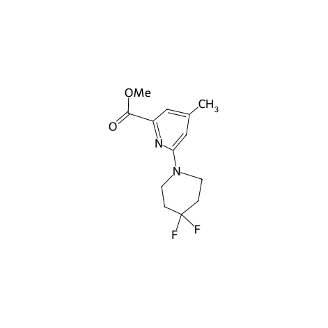 COC(=O)c1cc(C)cc(N2CCC(F)(F)CC2)n1